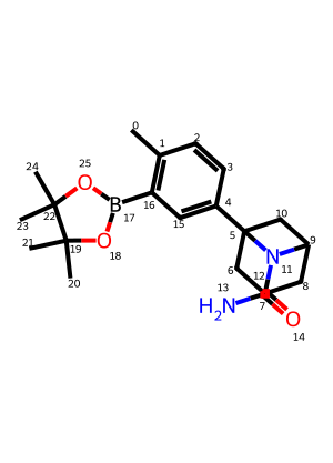 Cc1ccc(C23CCCC(C2)N3C(N)=O)cc1B1OC(C)(C)C(C)(C)O1